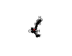 Cc1nn(C)c(C)c1-c1c(Cl)ccc2c(CCCOc3cccc4cc(F)ccc34)c(C(=O)O)n(CCN3CCN(C4CN(c5cc6c(cc5F)C(=O)N(C5CCC(=O)NC5=O)C6=O)C4)CC3)c12